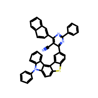 N#Cc1c(-c2ccc3ccccc3c2)nc(-c2ccccc2)nc1-c1ccc2sc3ccc4c(c5ccccc5n4-c4ccccc4)c3c2c1